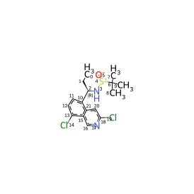 CC[C@@H](N[S+]([O-])C(C)(C)C)c1ccc(Cl)c2cnc(Cl)cc12